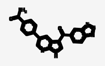 NC(=O)c1ccc(-c2cnc3[nH]cc(C(=O)c4ccc5nsnc5c4)c3c2)cc1